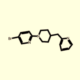 Brc1ccc(N2CCC(Cc3ccccn3)CC2)nc1